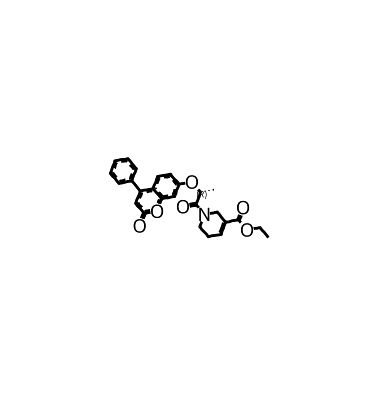 CCOC(=O)C1=CCCN(C(=O)[C@@H](C)Oc2ccc3c(-c4ccccc4)cc(=O)oc3c2)C1